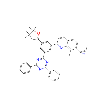 C/C=C\c1ccc2ccc(-c3cc(B4CC(C)(C)C(C)(C)O4)cc(-c4nc(-c5ccccc5)nc(-c5ccccc5)n4)c3)nc2c1C